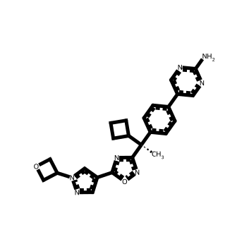 C[C@](c1ccc(-c2cnc(N)nc2)cc1)(c1noc(-c2cnn(C3COC3)c2)n1)C1CCC1